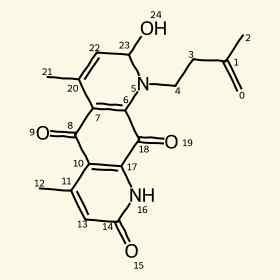 C=C(C)CCN1C2=C(C(=O)c3c(C)cc(=O)[nH]c3C2=O)C(C)=CC1O